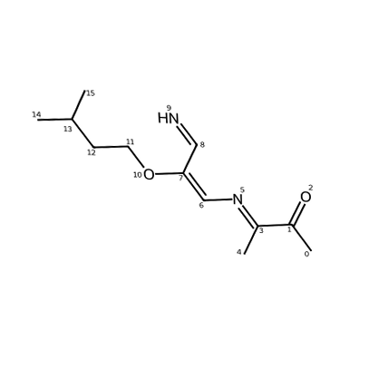 CC(=O)/C(C)=N/C=C(\C=N)OCCC(C)C